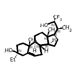 CC[C@]1(O)CC[C@@]2(C)C(=CC[C@H]3[C@@H]4CC[C@H]([C@H](C)[C@H](O)C(F)(F)F)[C@@]4(C)CC[C@@H]32)C1